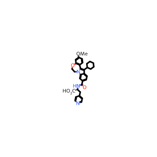 COc1ccc2c(c1)OCCn1c-2c(C2CCCCC2)c2ccc(C(=O)N[C@@H](Cc3ccncc3)C(=O)O)cc21